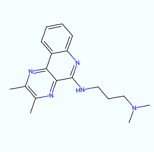 Cc1nc2c(NCCCN(C)C)nc3ccccc3c2nc1C